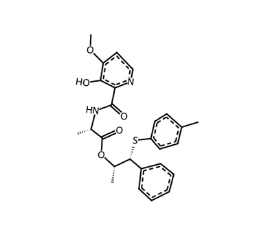 COc1ccnc(C(=O)N[C@@H](C)C(=O)O[C@@H](C)[C@H](Sc2ccc(C)cc2)c2ccccc2)c1O